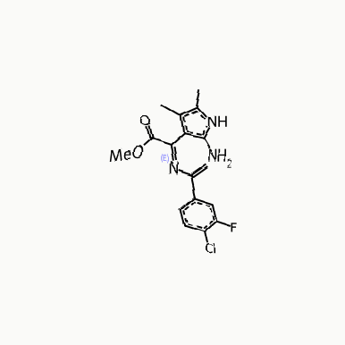 C=C(/N=C(/C(=O)OC)c1c(N)[nH]c(C)c1C)c1ccc(Cl)c(F)c1